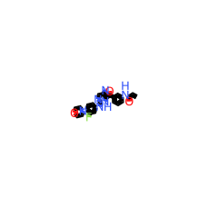 C=CC(=O)Nc1cccc(-c2onc3cnc(Nc4ccc(N5CCOCC5)c(F)c4)nc23)c1